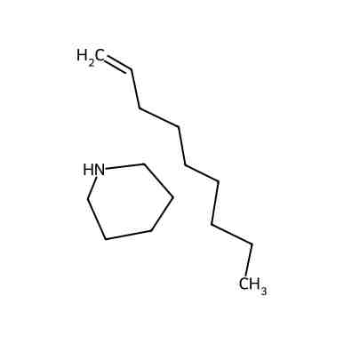 C1CCNCC1.C=CCCCCCCC